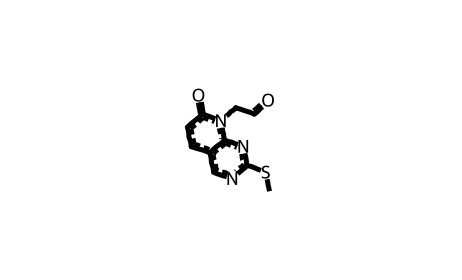 CSc1ncc2ccc(=O)n(CC=O)c2n1